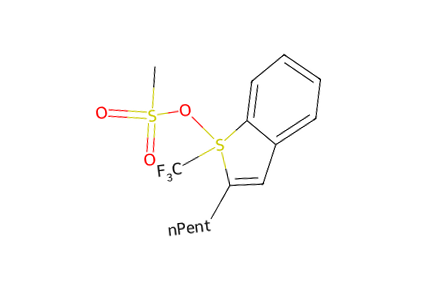 CCCCCC1=Cc2ccccc2S1(OS(C)(=O)=O)C(F)(F)F